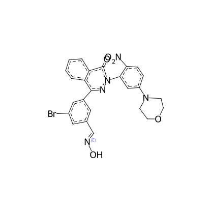 O=c1c2ccccc2c(-c2cc(Br)cc(/C=N/O)c2)nn1-c1cc(N2CCOCC2)ccc1[N+](=O)[O-]